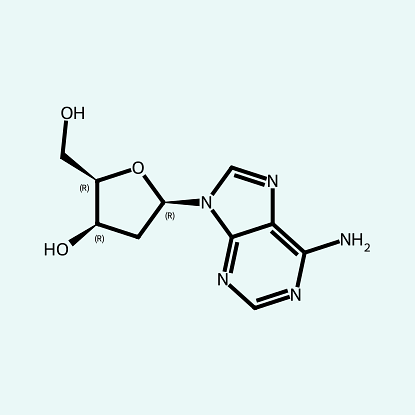 Nc1ncnc2c1ncn2[C@H]1C[C@@H](O)[C@@H](CO)O1